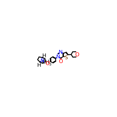 CN1[C@@H]2CC[C@H]1CC(Oc1ccc(-n3cnc4cc(C5CCOCC5)sc4c3=O)cc1)C2